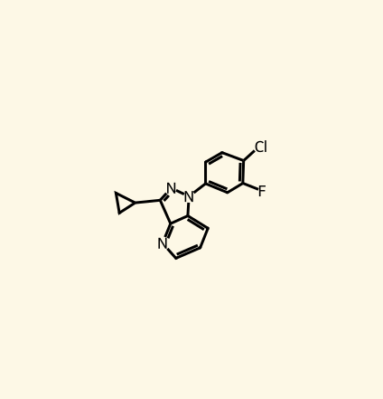 Fc1cc(-n2nc(C3CC3)c3ncccc32)ccc1Cl